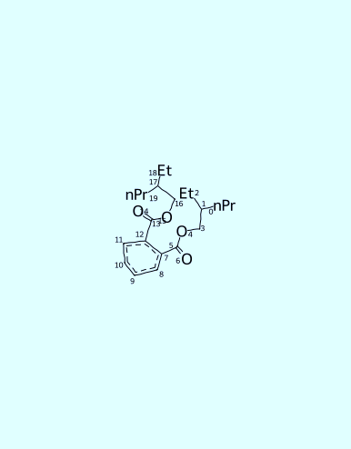 CCCC(CC)COC(=O)c1ccccc1C(=O)OCC(CC)CCC